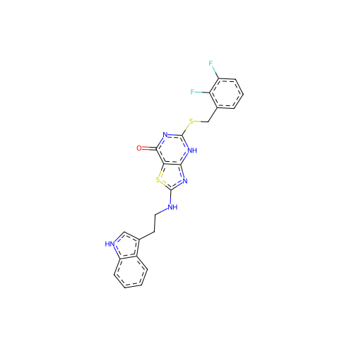 O=c1nc(SCc2cccc(F)c2F)[nH]c2nc(NCCc3c[nH]c4ccccc34)sc12